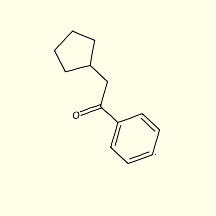 O=C(CC1CCCC1)c1cc[c]cc1